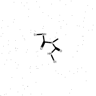 CCNC(=O)N(C)C(=O)NCC